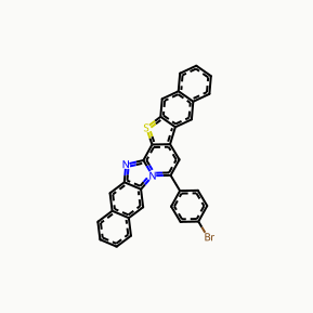 Brc1ccc(-c2cc3c4cc5ccccc5cc4sc3c3nc4cc5ccccc5cc4n23)cc1